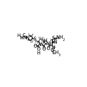 CN[n+]1ccc(SCC2=C(C(=O)O)N3C(=O)[C@@H](NC(=O)/C(=N\OC)c4csc(N)n4)[C@H]3SC2)cc1